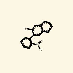 O=[N+]([O-])c1ccccc1-c1cc2ccccc2cc1Br